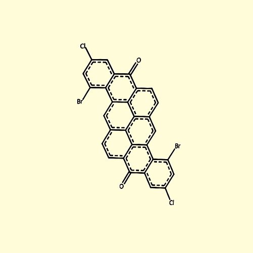 O=c1c2cc(Cl)cc(Br)c2c2cc3ccc4c(=O)c5cc(Cl)cc(Br)c5c5cc6ccc1c2c6c3c45